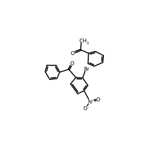 CC(=O)c1ccccc1.O=C(c1ccccc1)c1ccc([N+](=O)[O-])cc1Br